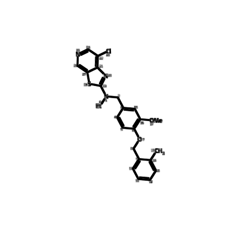 [CH2]CN(Cc1ccc(OCc2ccccc2C)c(OC)c1)c1nc2c(Cl)cncc2s1